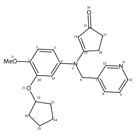 COc1ccc(N(Cc2cccnc2)C2=CC(=O)CC2)cc1OC1CCCC1